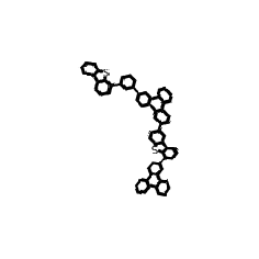 c1cc(-c2ccc3c4ccccc4c4ccccc4c3c2)c2sc3ccc(-c4ccc5c6ccccc6c6cc(-c7cccc(-c8cccc9c8sc8ccccc89)c7)ccc6c5c4)cc3c2c#1